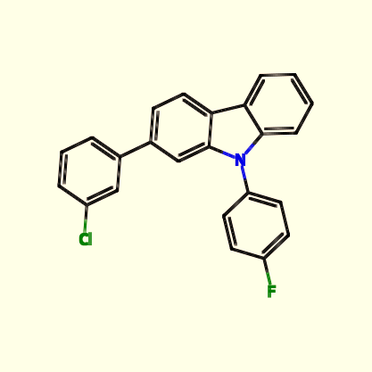 Fc1ccc(-n2c3ccccc3c3ccc(-c4cccc(Cl)c4)cc32)cc1